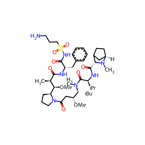 CC[C@H](C)[C@@H]([C@@H](CC(=O)N1CCC[C@H]1[C@H](OC)[C@@H](C)C(=O)N[C@@H](Cc1ccccc1)C(=O)NS(=O)(=O)CCCN)OC)N(C)C(=O)[C@@H](NC(=O)[C@@H]1C2CC[C@H](C2)N1C)C(C)C